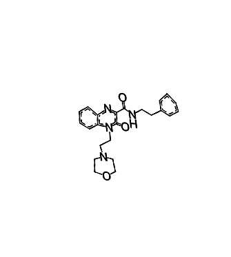 O=C(NCCc1ccccc1)c1nc2ccccc2n(CCN2CCOCC2)c1=O